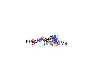 COC(=O)NC(C(=O)N1C[C@@H](C)C[C@H]1c1nc2c(ccc3cc(-c4ccc(NC(=O)N5CCN(C6CCN(C(=O)OC(C)(C)C)CC6)CC5)cc4OC(F)(F)F)ccc32)[nH]1)C(C)C